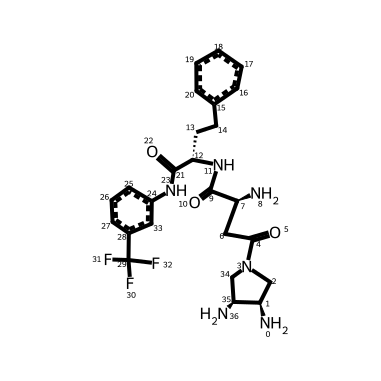 N[C@@H]1CN(C(=O)C[C@H](N)C(=O)N[C@@H](CCc2ccccc2)C(=O)Nc2cccc(C(F)(F)F)c2)C[C@@H]1N